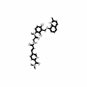 Cc1ccc2cccc(OCc3c(Cl)ccc(N(C)C(=O)CNC(=O)C=Cc4ccc(C(=O)N(C)C)nc4)c3Cl)c2n1